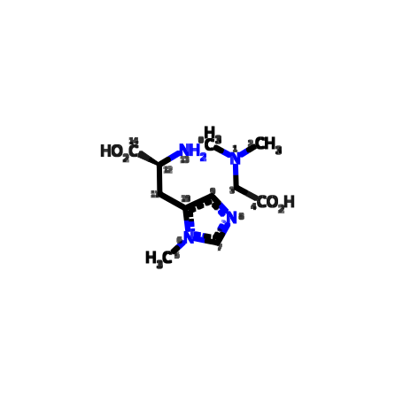 CN(C)CC(=O)O.Cn1cncc1C[C@H](N)C(=O)O